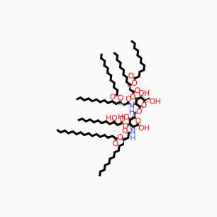 CCCCCCCCCCCCCCCC(=O)O[C@H](CCCCCCCCCCC)CC(=O)N[C@@H]1[C@@H](OC(=O)C[C@H](O)CCCCCCCCC)[C@H](O)[C@@H](CO[C@@H]2O[C@H](CO)[C@@H](O)[C@H](OC(=O)C[C@@H](CCCCCCCCC)OC(=O)CCCCCCCCCCC)[C@H]2NC(=O)C[C@@H](CCCCCCCCCCC)OC(=O)CCCCCCCCCCC)O[C@@H]1O